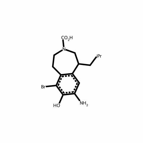 CC(C)CC1CN(C(=O)O)CCc2c1cc(N)c(O)c2Br